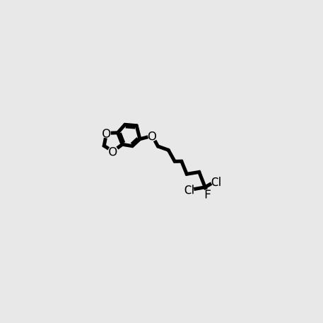 FC(Cl)(Cl)CCCCCCOc1ccc2c(c1)OCO2